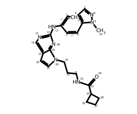 C/C=C(\C=C/c1ccnn1C)Nc1ncc2ccn(CCCNC(=O)C3CCC3)c2n1